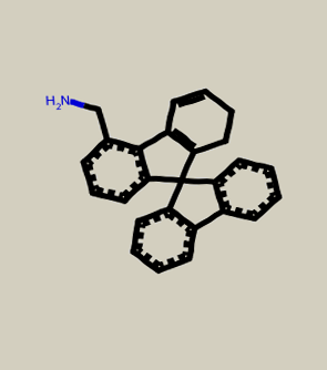 NCc1cccc2c1C1=C(CCC=C1)C21c2ccccc2-c2ccccc21